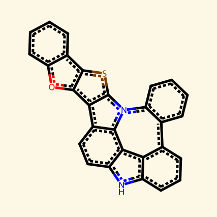 c1ccc2c(c1)oc1c2sc2c1c1ccc3[nH]c4cccc5c6ccccc6n2c1c3c45